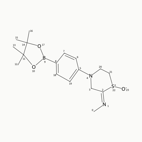 C/N=C1\CN(c2ccc(B3OC(C)(C)C(C)(C)O3)cc2)CC[S+]1[O-]